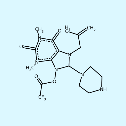 C=C(C)CN1c2c(n(C)c(=O)n(C)c2=O)N(OC(=O)C(F)(F)F)C1N1CCNCC1